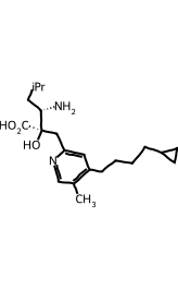 Cc1cnc(C[C@](O)(C(=O)O)[C@@H](N)CC(C)C)cc1CCCCC1CC1